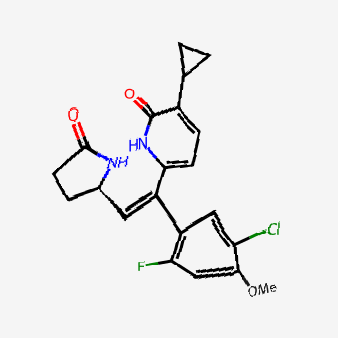 COc1cc(F)c(/C(=C/[C@H]2CCC(=O)N2)c2ccc(C3CC3)c(=O)[nH]2)cc1Cl